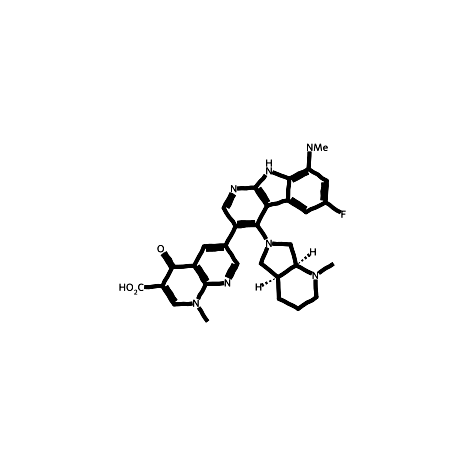 CNc1cc(F)cc2c1[nH]c1ncc(-c3cnc4c(c3)c(=O)c(C(=O)O)cn4C)c(N3C[C@@H]4CCCN(C)[C@@H]4C3)c12